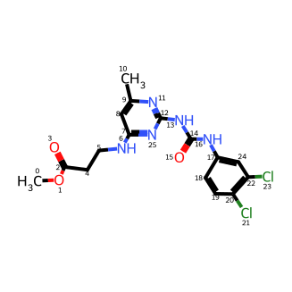 COC(=O)CCNc1cc(C)nc(NC(=O)Nc2ccc(Cl)c(Cl)c2)n1